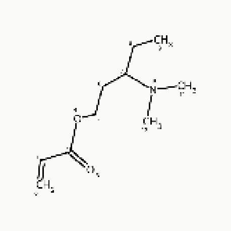 C=CC(=O)OCCC(CC)N(C)C